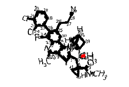 CNC(=O)C1([C@@H](C)c2cc3c(C)nc4c(F)c(-c5cccc(Cl)c5Cl)c(CCC#N)cc4c3n2[C@H]2[C@H]3CN[C@@H]2C3)CC1